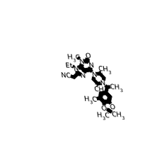 CCn1c(CC#N)nc2c(N3C[C@@H](C)N(C(C)c4cc(C)c5c(c4)OC(C)(C)O5)C[C@@H]3C)nc(=O)n(C)c21